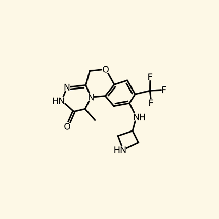 CC1C(=O)NN=C2COc3cc(C(F)(F)F)c(NC4CNC4)cc3N21